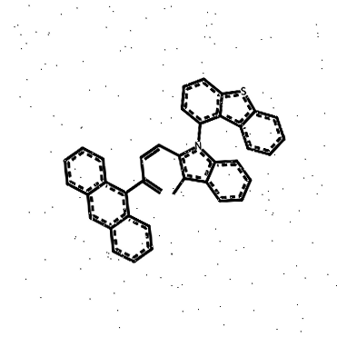 C=C(/C=C\c1c(C)c2ccccc2n1-c1cccc2sc3ccccc3c12)c1c2ccccc2cc2ccccc12